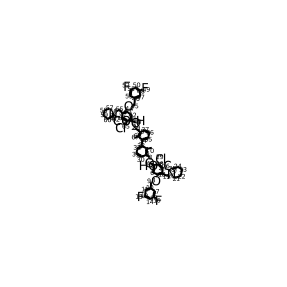 Cc1c(COc2cc(OCc3cc(F)cc(F)c3)c(CN3CCCC[C@H]3C(=O)O)cc2Cl)cccc1-c1cccc(COc2cc(OCc3cc(F)cc(F)c3)c(CN3CCCC[C@H]3C(=O)O)cc2Cl)c1C